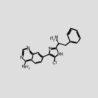 Nc1ncnc2cc(-c3nc([C@@H](N)Cc4ccccc4)[nH]c3Cl)ccc12